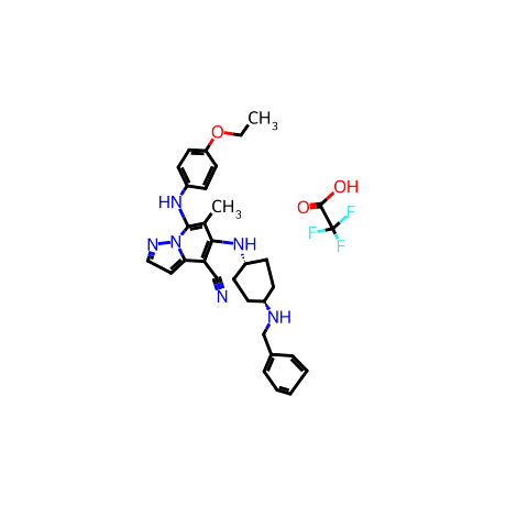 CCOc1ccc(Nc2c(C)c(N[C@H]3CC[C@H](NCc4ccccc4)CC3)c(C#N)c3ccnn23)cc1.O=C(O)C(F)(F)F